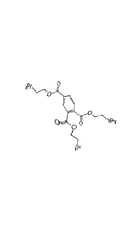 CC(C)CCOC(=O)c1ccc(C(=O)OCCC(C)C)c(C(=O)OCCC(C)C)c1